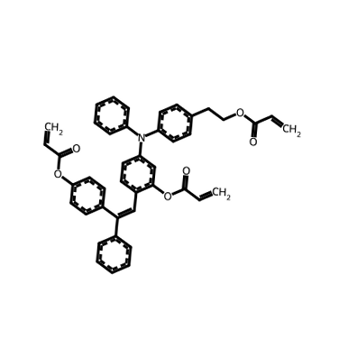 C=CC(=O)OCCc1ccc(N(c2ccccc2)c2ccc(C=C(c3ccccc3)c3ccc(OC(=O)C=C)cc3)c(OC(=O)C=C)c2)cc1